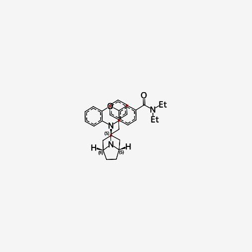 CCN(CC)C(=O)c1ccc2c(c1)Oc1ccccc1N2[C@@H]1C[C@H]2CC[C@@H](C1)N2CCc1ccccc1